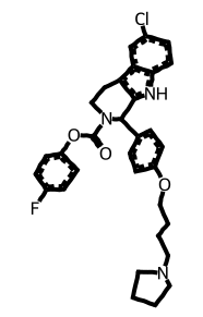 O=C(Oc1ccc(F)cc1)N1CCc2c([nH]c3ccc(Cl)cc23)C1c1ccc(OCCCCN2CCCC2)cc1